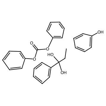 CCC(O)(O)c1ccccc1.O=C(Oc1ccccc1)Oc1ccccc1.Oc1ccccc1